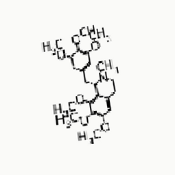 COc1cc(C[C@@H]2c3c(cc(OC)c(OC)c3OC)CCN2C)cc(OC)c1OC